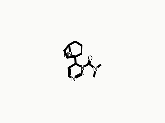 CN(C)C(=O)N1[C]=NC=CC1C12CCCC(CC1)N2